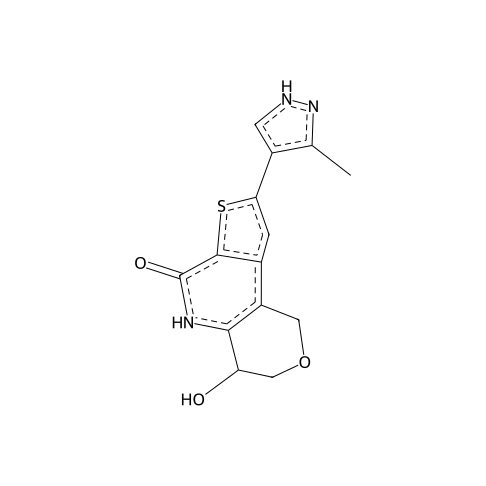 Cc1n[nH]cc1-c1cc2c3c([nH]c(=O)c2s1)C(O)COC3